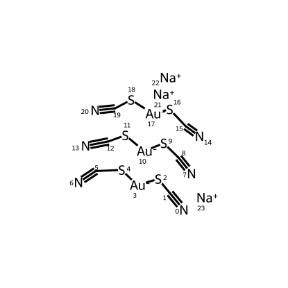 N#C[S][Au-][S]C#N.N#C[S][Au-][S]C#N.N#C[S][Au-][S]C#N.[Na+].[Na+].[Na+]